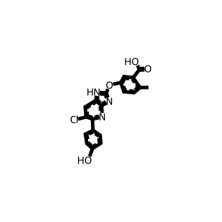 Cc1ccc(Oc2nc3nc(-c4ccc(O)cc4)c(Cl)cc3[nH]2)cc1C(=O)O